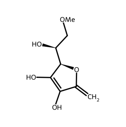 C=C1O[C@H]([C@@H](O)COC)C(O)=C1O